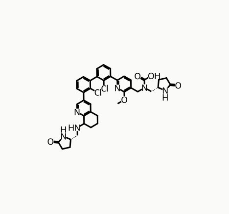 COc1nc(-c2cccc(-c3cccc(-c4cnc5c(c4)CCCC5NC[C@@H]4CCC(=O)N4)c3Cl)c2Cl)ccc1CN(C[C@@H]1CCC(=O)N1)C(=O)O